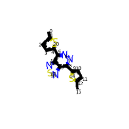 Cc1ccc(-c2nnc(-c3ccc(C)s3)c3nsnc23)s1